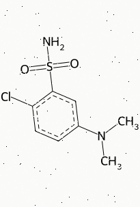 CN(C)c1ccc(Cl)c(S(N)(=O)=O)c1